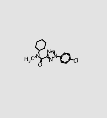 CN(C(=O)c1ncn(-c2ccc(Cl)cc2)n1)C1CCCCC1